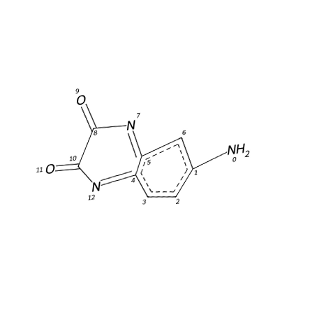 Nc1ccc2c(c1)=NC(=O)C(=O)N=2